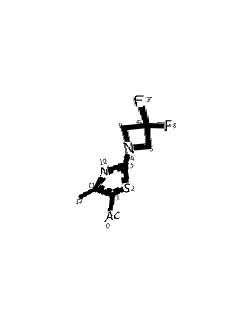 CC(=O)c1sc(N2CC(F)(F)C2)nc1C